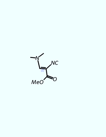 [C-]#[N+]/C(=C\N(C)C)C(=O)OC